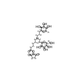 CC(CN(CCCCCC(=O)ON1C(=O)CCC1=O)CCC[C@@H]1O[C@@H](C)[C@@H](O)[C@@H](O)[C@@H]1O)[C@H]1O[C@H](CO)[C@@H](O)[C@H](O)[C@H]1O